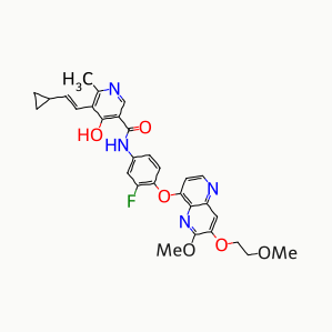 COCCOc1cc2nccc(Oc3ccc(NC(=O)c4cnc(C)c(/C=C/C5CC5)c4O)cc3F)c2nc1OC